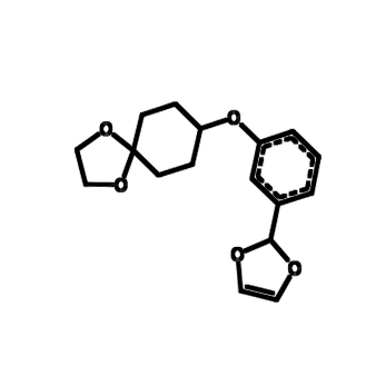 C1=COC(c2cccc(OC3CCC4(CC3)OCCO4)c2)O1